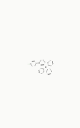 Clc1ccc(-c2ccc3c(c2)C(c2ccccc2)(c2ccccc2)c2ccccc2-3)cc1